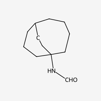 O=CNC12CCCCC(CCC1)CC2